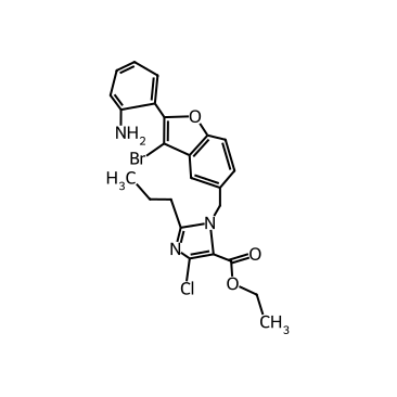 CCCc1nc(Cl)c(C(=O)OCC)n1Cc1ccc2oc(-c3ccccc3N)c(Br)c2c1